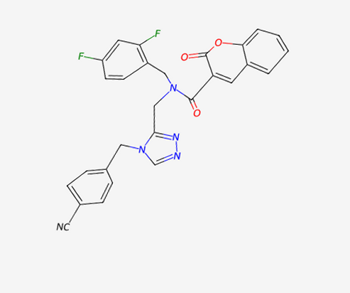 N#Cc1ccc(Cn2cnnc2CN(Cc2ccc(F)cc2F)C(=O)c2cc3ccccc3oc2=O)cc1